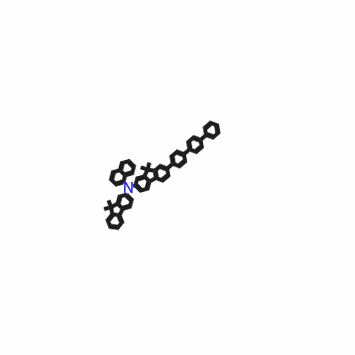 CC1(C)c2ccccc2-c2ccc(N(c3ccc4c(c3)C(C)(C)c3cc(-c5ccc(-c6ccc(-c7ccccc7)cc6)cc5)ccc3-4)c3cccc4ccccc34)cc21